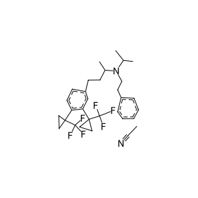 CC#N.CC(C)N(CCc1ccccc1)C(C)CCc1ccc(C2(C(F)(F)F)CC2)c(C2(C(F)(F)F)CC2)c1